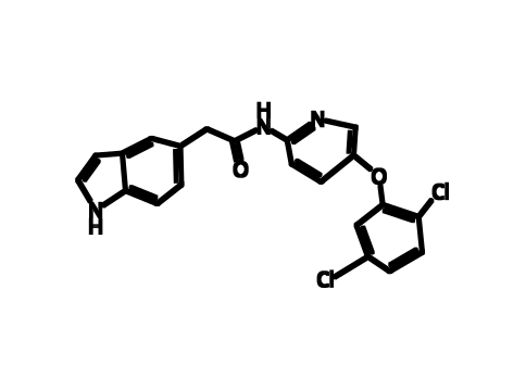 O=C(Cc1ccc2[nH]ccc2c1)Nc1ccc(Oc2cc(Cl)ccc2Cl)cn1